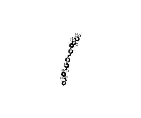 C[C@H]1CCCN1Cc1nc2cc(NC(=O)c3ccc(N4CCN(CCC5CCN(c6ccc7c(c6)C(=O)N(C6CCC(=O)NC6=O)C7=O)CC5)CC4)nc3)ccc2[nH]1